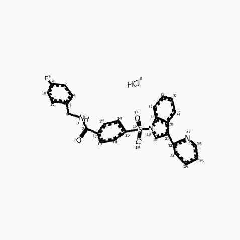 Cl.O=C(NCc1ccc(F)cc1)c1ccc(S(=O)(=O)n2cc(-c3ccccn3)c3ccccc32)cc1